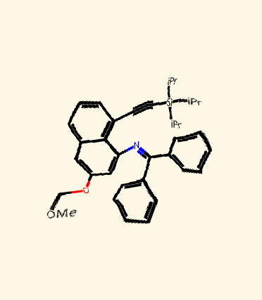 COCOc1cc(N=C(c2ccccc2)c2ccccc2)c2c(C#C[Si](C(C)C)(C(C)C)C(C)C)cccc2c1